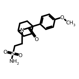 COc1ccc(C23CCC(CC2)N(CCS(N)(=O)=O)C3=O)cc1